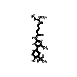 Cc1nc(NC(=O)CCCN[C@H](CC(C)C)C(=O)O)sc1-c1ccc(Cl)c(S(C)(=O)=O)c1